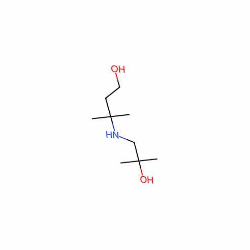 CC(C)(O)CNC(C)(C)CCO